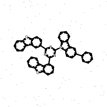 c1ccc(-c2ccc3c(c2)c2ccccc2n3-c2nc(-c3ccc4oc5ccccc5c4c3)nc(-c3cccc4oc5ccccc5c34)n2)cc1